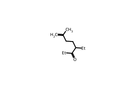 C=C(C)CCC(CC)C(=O)CC